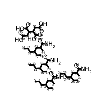 CCCC(CC)CC(C)C(N)=O.CCCC(CC)CC(C)C(N)=O.CCCC(CC)CC(C)C(N)=O.CCCC(CC)CC(C)C(N)=O.O=C(O)CC(C(=O)O)C(CC(=O)O)C(=O)O